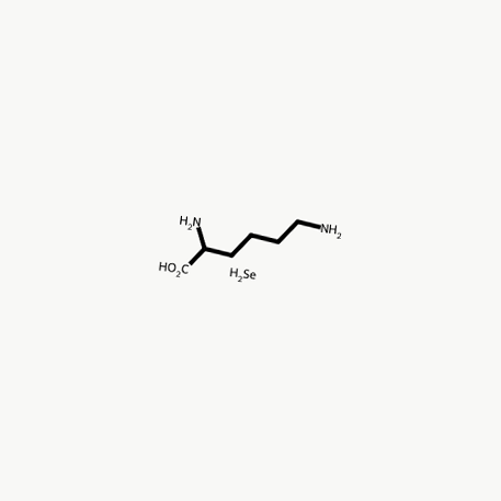 NCCCCC(N)C(=O)O.[SeH2]